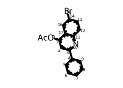 CC(=O)Oc1cc(-c2ccccc2)nc2ccc(Br)cc12